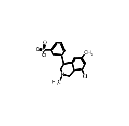 Cc1cc(Cl)c2c(c1)C(c1cccc(S(=O)(=O)Cl)c1)CN(C)C2